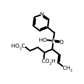 C/C=C/C(C(CCC(=O)O)C(=O)O)P(=O)(O)Cc1cccnc1